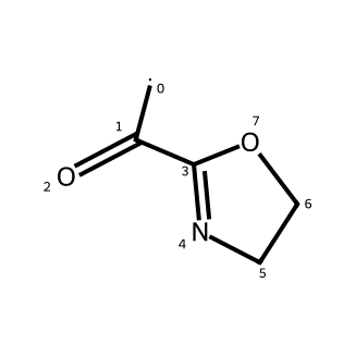 [CH2]C(=O)C1=NCCO1